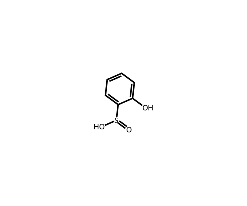 O=S(O)c1ccccc1O